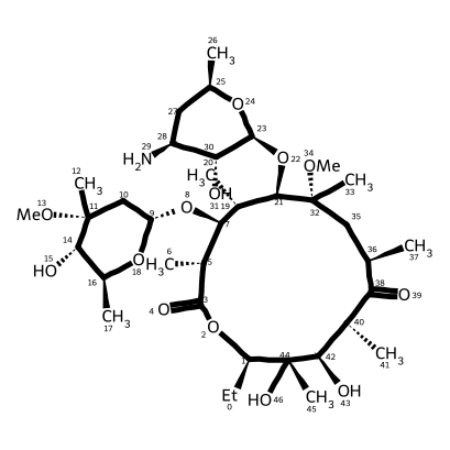 CC[C@H]1OC(=O)[C@H](C)[C@@H](O[C@H]2C[C@@](C)(OC)[C@@H](O)[C@H](C)O2)[C@H](C)[C@@H](O[C@@H]2O[C@H](C)C[C@H](N)[C@H]2O)[C@](C)(OC)C[C@@H](C)C(=O)[C@H](C)[C@@H](O)[C@]1(C)O